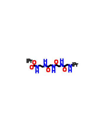 CC(C)NCC(=O)NCC(=O)NCC(=O)NCCNC(=O)OC(C)C